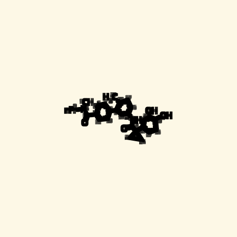 CCCN(C)C(=O)c1ccc(-c2cc(NC(=O)C3(c4ccc(O)c(O)c4)CC3)ccc2C)cc1